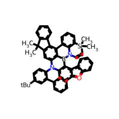 CC(C)(C)c1ccc(N2c3cc4c(c5c3B(c3c2ccc2oc6ccccc6c32)N2c3ccccc3[Si](C)(C)c3cccc-5c32)-c2ccccc2C4(C)C)c(-c2ccccc2)c1